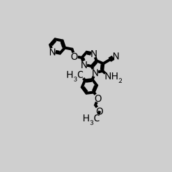 COCOc1ccc(C)c(-n2c(N)c(C#N)c3ncc(OCc4cccnc4)nc32)c1